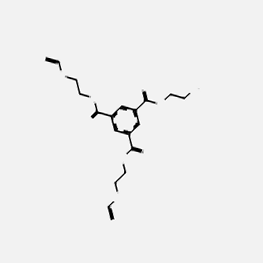 C=COCCOC(=O)c1cc(C(=O)OCCO)cc(C(=O)OCCOC=C)c1